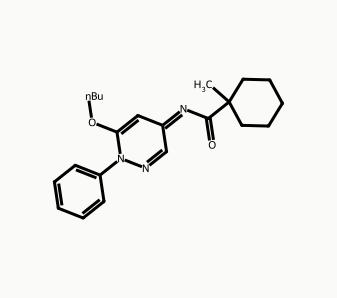 CCCCOc1cc(=NC(=O)C2(C)CCCCC2)cnn1-c1ccccc1